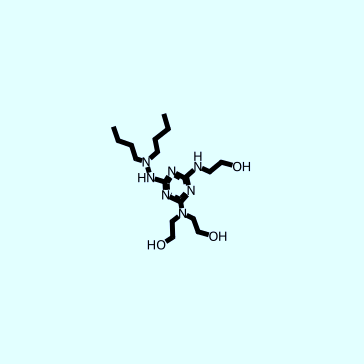 CCCCN(CCCC)Nc1nc(NCCO)nc(N(CCO)CCO)n1